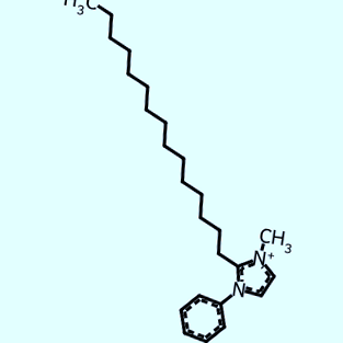 CCCCCCCCCCCCCCCc1n(-c2ccccc2)cc[n+]1C